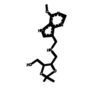 COc1ncnc2c(CNCC3OC(C)(C)OC3CO)c[nH]c12